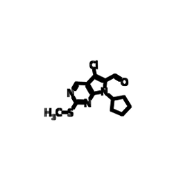 CSc1ncc2c(Cl)c(C=O)n(C3CCCC3)c2n1